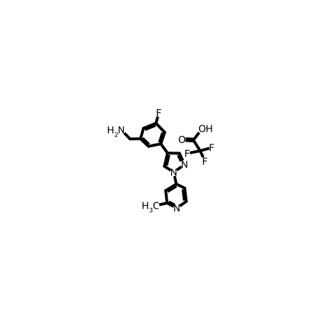 Cc1cc(-n2cc(-c3cc(F)cc(CN)c3)cn2)ccn1.O=C(O)C(F)(F)F